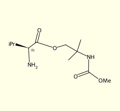 [CH2]OC(=O)NC(C)(C)COC(=O)[C@@H](N)C(C)C